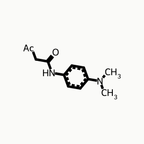 CC(=O)CC(=O)Nc1ccc(N(C)C)cc1